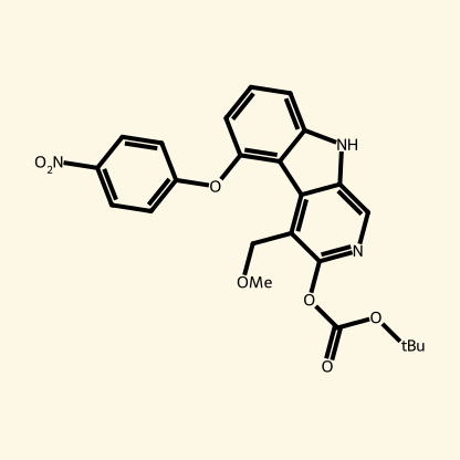 COCc1c(OC(=O)OC(C)(C)C)ncc2[nH]c3cccc(Oc4ccc([N+](=O)[O-])cc4)c3c12